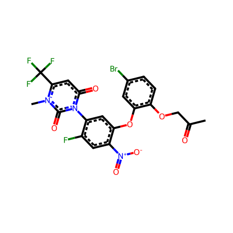 CC(=O)COc1ccc(Br)cc1Oc1cc(-n2c(=O)cc(C(F)(F)F)n(C)c2=O)c(F)cc1[N+](=O)[O-]